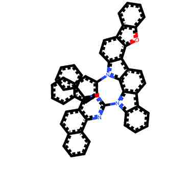 c1ccc(-c2nc(-n3c4ccccc4c4ccc5c6c7oc8ccccc8c7ccc6n(-c6ccc7ccccc7c6)c5c43)nc3c2ccc2ccccc23)cc1